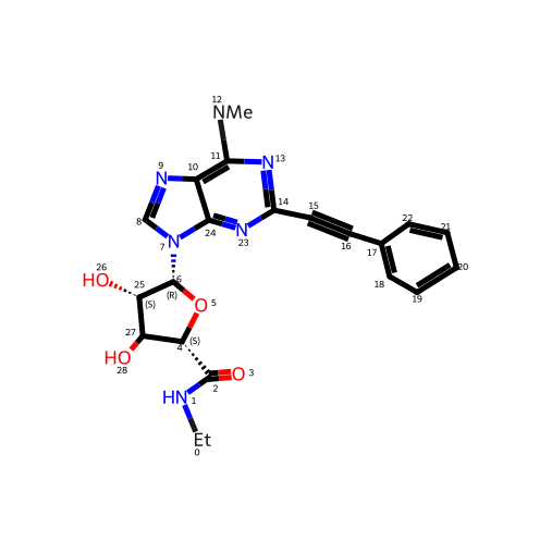 CCNC(=O)[C@H]1O[C@@H](n2cnc3c(NC)nc(C#Cc4ccccc4)nc32)[C@@H](O)C1O